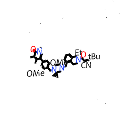 CCC1c2cccc(CN3CCN(Cc4c(OC)cc(-c5cn(C)c(=O)c(C)c5C)cc4OC)C4(CC4)C3)c2CCN1C(=O)/C(C#N)=C\C(C)(C)C